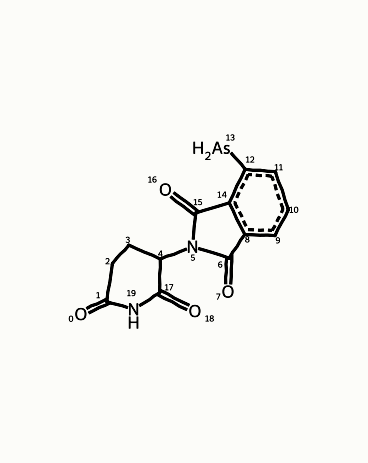 O=C1CCC(N2C(=O)c3cccc([AsH2])c3C2=O)C(=O)N1